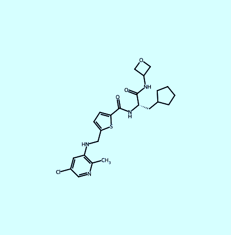 Cc1ncc(Cl)cc1NCc1ccc(C(=O)N[C@@H](CC2CCCC2)C(=O)NC2COC2)s1